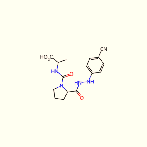 CC(NC(=O)N1CCCC1C(=O)NNc1ccc(C#N)cc1)C(=O)O